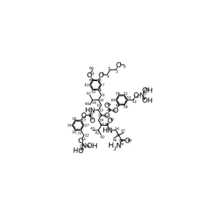 COCCCOc1cc(CC(CC(NC(=O)Oc2cccc(CON(O)O)c2)C(CC(C(=O)NCC(C)(C)C(N)=O)C(C)C)OC(=O)Oc2cccc(CON(O)O)c2)C(C)C)ccc1OC